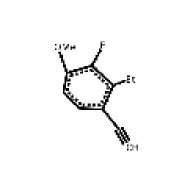 C#Cc1ccc(OC)c(F)c1CC